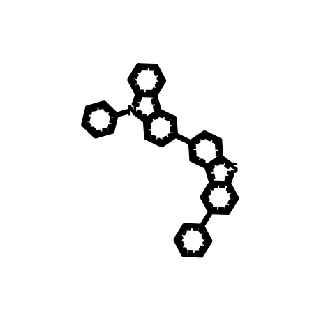 c1ccc(-c2ccc3sc4ccc(-c5ccc6c(c5)c5ccccc5n6-c5ccccc5)cc4c3c2)cc1